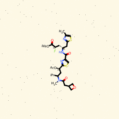 COC(=O)[C@@H](F)C[C@H](Cc1nc(C)cs1)NC(=O)c1csc([C@@H](CC(C(C)C)N(C)C(=O)CC2COC2)OC(C)=O)n1